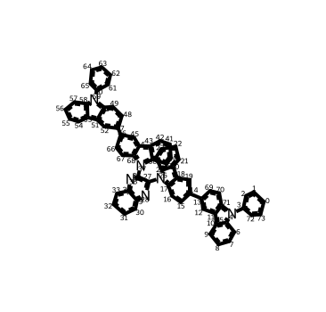 c1ccc(-n2c3ccccc3c3cc(-c4ccc5c(c4)c4ccccc4n5-c4nc5ccccc5nc4-n4c5ccccc5c5cc(-c6ccc7c(c6)c6ccccc6n7-c6ccccc6)ccc54)ccc32)cc1